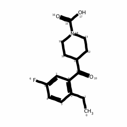 CCc1ccc(F)cc1C(=O)C1CCN(C(=O)O)CC1